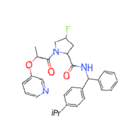 CC(Oc1cccnc1)C(=O)N1CC(F)CC1C(=O)NC(c1ccccc1)c1ccc(C(C)C)cc1